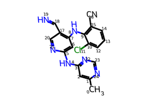 Cc1cc(Nc2cc(Nc3c(Cl)cccc3C#N)c(C=N)cn2)ncn1